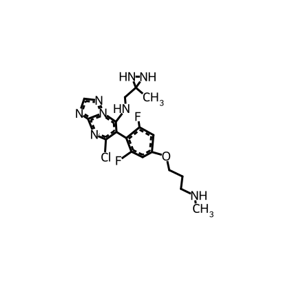 CNCCCOc1cc(F)c(-c2c(Cl)nc3ncnn3c2NCC2(C)NN2)c(F)c1